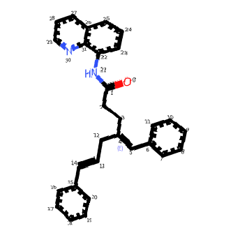 O=C(CC/C(=C\c1ccccc1)CC=Cc1ccccc1)Nc1cccc2cccnc12